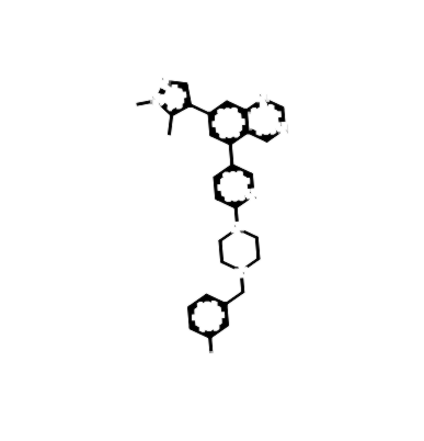 Cc1c(-c2cc(-c3ccc(N4CCN(Cc5cccc(F)c5)CC4)nc3)c3cncnc3c2)cnn1C